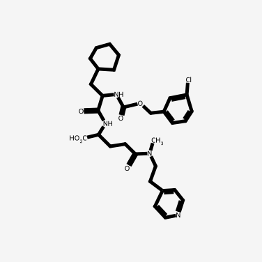 CN(CCc1ccncc1)C(=O)CCC(NC(=O)C(CC1CCCCC1)NC(=O)OCc1cccc(Cl)c1)C(=O)O